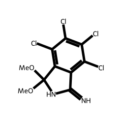 COC1(OC)NC(=N)c2c(Cl)c(Cl)c(Cl)c(Cl)c21